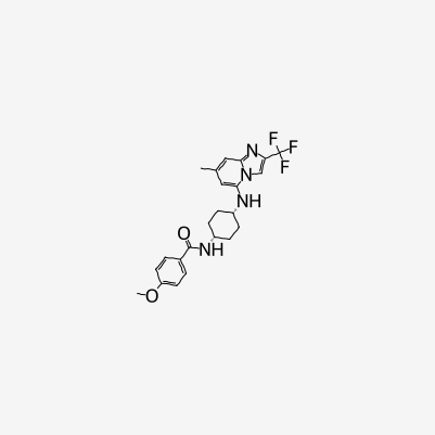 COc1ccc(C(=O)N[C@H]2CC[C@@H](Nc3cc(C)cc4nc(C(F)(F)F)cn34)CC2)cc1